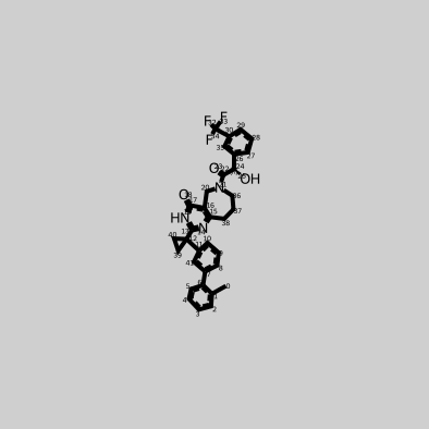 Cc1ccccc1-c1cccc(C2(c3nc4c(c(=O)[nH]3)CN(C(=O)[C@H](O)c3cccc(C(F)(F)F)c3)CCC4)CC2)c1